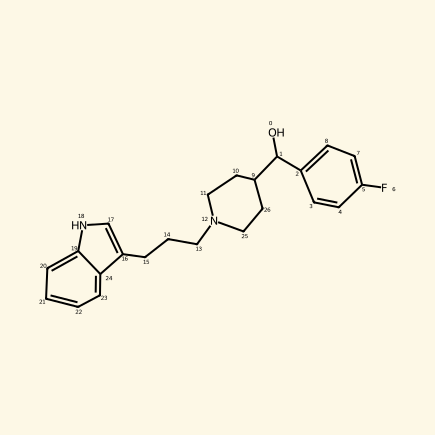 OC(c1ccc(F)cc1)C1CCN(CCCc2c[nH]c3ccccc23)CC1